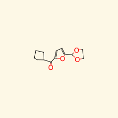 O=C(c1ccc(C2OCCO2)o1)C1CCCC1